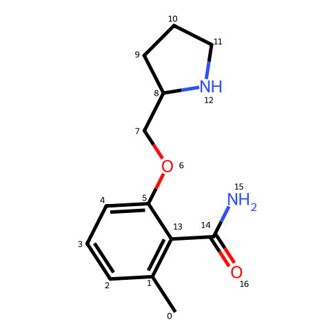 Cc1cccc(OCC2CCCN2)c1C(N)=O